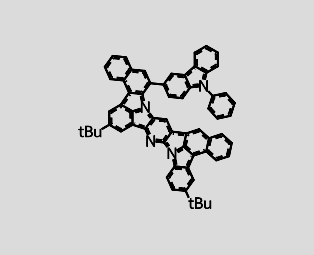 CC(C)(C)c1ccc2c(c1)c1c3ccccc3cc3c4cc5c(nc4n2c31)c1cc(C(C)(C)C)cc2c3c4ccccc4cc(-c4ccc6c(c4)c4ccccc4n6-c4ccccc4)c3n5c12